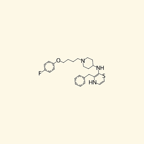 Fc1ccc(OCCCCN2CCC(NC3=C(Cc4ccccc4)NC=CS3)CC2)cc1